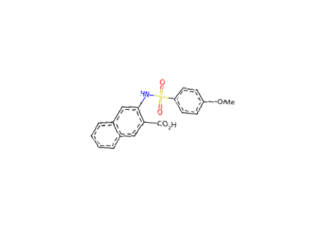 COc1ccc(S(=O)(=O)Nc2cc3ccccc3cc2C(=O)O)cc1